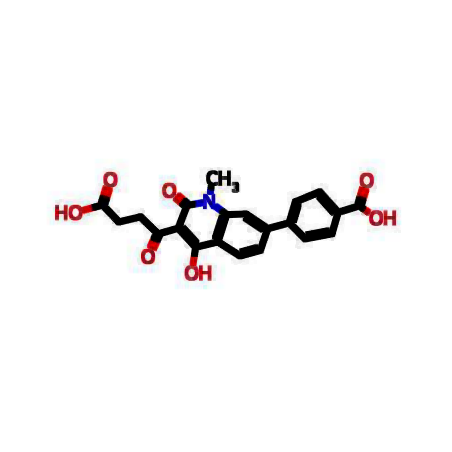 Cn1c(=O)c(C(=O)CCC(=O)O)c(O)c2ccc(-c3ccc(C(=O)O)cc3)cc21